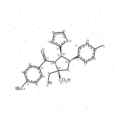 Cc1cnc([C@H]2C[C@@](CC(C)C)(C(=O)O)N(C(=O)c3ccc(C(C)(C)C)cc3)[C@H]2c2nccs2)cn1